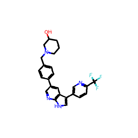 OC1CCCN(Cc2ccc(-c3cnc4[nH]cc(-c5ccc(C(F)(F)F)nc5)c4c3)cc2)C1